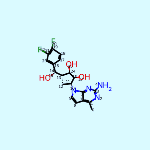 Cc1nc(N)nc2c1ccn2[C@@H]1C[C@H]([C@@H](O)c2ccc(F)c(F)c2)[C@@H](O)[C@H]1O